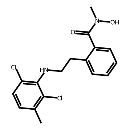 Cc1ccc(Cl)c(NCCc2ccccc2C(=O)N(C)O)c1Cl